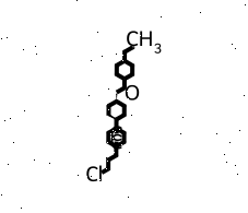 CCCC1CCC(C(=O)C[C@H]2CC[C@H](C34CCC(CCCCl)(CC3)CC4)CC2)CC1